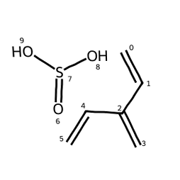 C=CC(=C)C=C.O=S(O)O